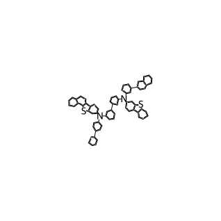 c1ccc(-c2ccc(N(c3cccc(-c4cccc(N(c5cccc(-c6ccc7ccccc7c6)c5)c5ccc6c(c5)sc5ccccc56)c4)c3)c3ccc4c(c3)sc3c5ccccc5ccc43)cc2)cc1